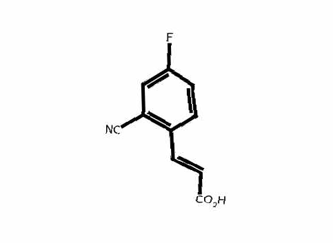 N#Cc1cc(F)ccc1C=CC(=O)O